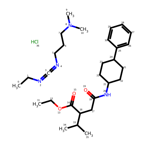 CCN=C=NCCCN(C)C.CCOC(=O)C(CC(=O)NC1CCC(c2ccccc2)CC1)C(C)C.Cl